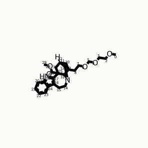 COCCOCOCCC1C[C@@H]2CN3CCc4c([nH]c5ccccc45)C(C(=O)OC)(C2)C13